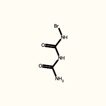 NC(=O)NC(=O)NBr